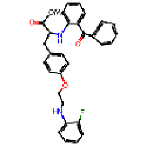 COC(=O)C(Cc1ccc(OCCNc2ccccc2F)cc1)Nc1ccccc1C(=O)c1ccccc1